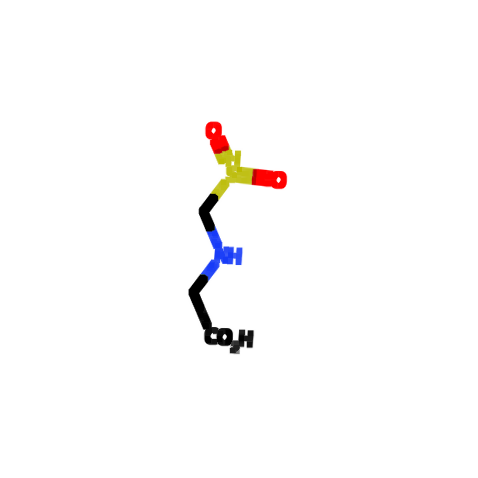 O=C(O)CNC[SH](=O)=O